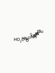 CC(C)(C)c1cn(-c2ccc(NC(c3ccc(C(=O)NCCC(=O)O)cc3)C3CCCC3)cn2)cn1